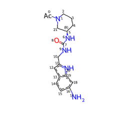 CC(=O)N1CCC[C@@H](NC(=O)NCc2cc3ccc(N)cc3[nH]2)C1